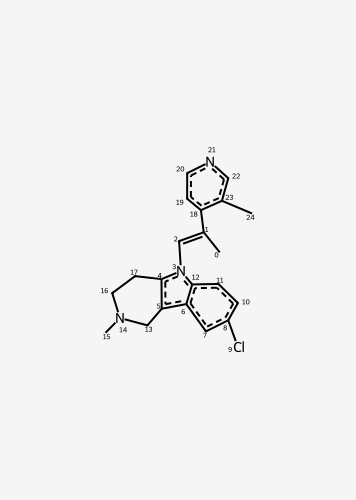 CC(=Cn1c2c(c3cc(Cl)ccc31)CN(C)CC2)c1ccncc1C